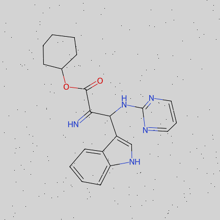 N=C(C(=O)OC1CCCCC1)C(Nc1ncccn1)c1c[nH]c2ccccc12